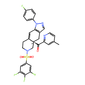 Cc1ccnc(C(=O)[C@]23Cc4cnn(-c5ccc(F)cc5)c4C=C2CCN(S(=O)(=O)c2cc(F)c(F)c(F)c2)C3)c1